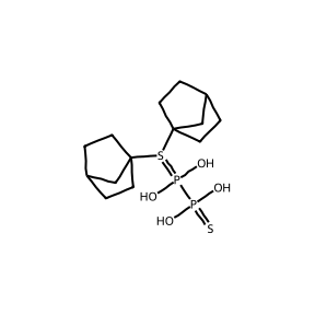 OP(O)(=S)P(O)(O)=S(C12CCC(CC1)C2)C12CCC(CC1)C2